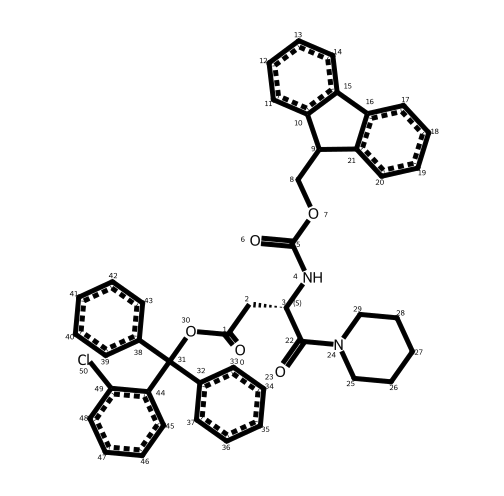 O=C(C[C@H](NC(=O)OCC1c2ccccc2-c2ccccc21)C(=O)N1CCCCC1)OC(c1ccccc1)(c1ccccc1)c1ccccc1Cl